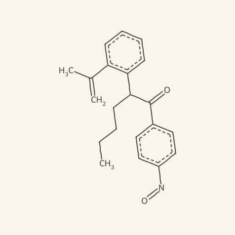 C=C(C)c1ccccc1C(CCCC)C(=O)c1ccc(N=O)cc1